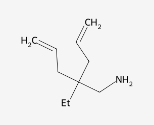 C=CCC(CC)(CN)CC=C